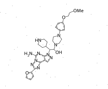 COCCOc1ccc(N2CCN(C(O)C(C3CCNCC3)n3ncc4c3nc(N)n3nc(-c5ccco5)nc43)CC2)cc1